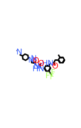 Cc1ccccc1CC(=O)Nc1cc(NC(=O)[N-]c2c[n+](C3CCC(CN(C)C)CC3)no2)cc(C(F)(F)F)c1